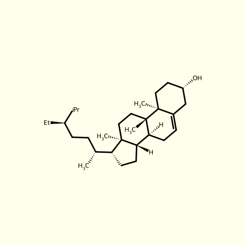 CC[C@H](CC[C@@H](C)[C@H]1CC[C@H]2[C@@H]3CC=C4C[C@@H](O)CC[C@]4(C)[C@@]3(C)CC[C@]12C)C(C)C